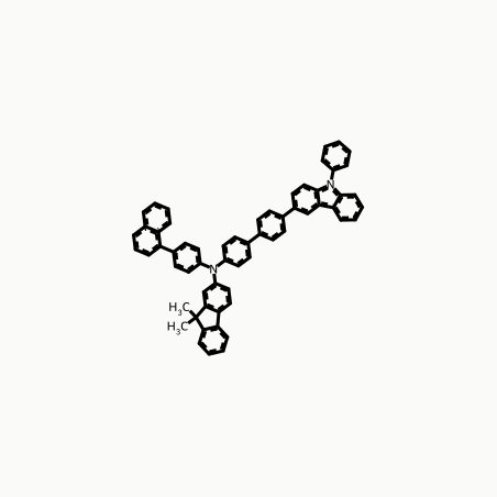 CC1(C)c2ccccc2-c2ccc(N(c3ccc(-c4ccc(-c5ccc6c(c5)c5ccccc5n6-c5ccccc5)cc4)cc3)c3ccc(-c4cccc5ccccc45)cc3)cc21